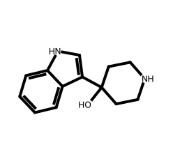 OC1(c2c[nH]c3ccccc23)CCNCC1